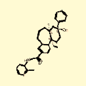 CC[C@@]12CC[C@@](O)(c3ccccc3)C[C@@H]1CCCc1cc(C(=O)Nc3cccnc3C)ccc12